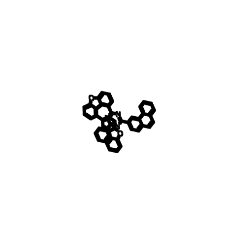 c1ccc(-c2nc(-c3ccc4ccc5ccccc5c4c3)nc(-c3cccc4oc5cccc(-c6ccc7oc8ccccc8c7c6)c5c34)n2)cc1